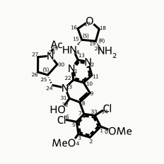 COc1cc(OC)c(Cl)c(C2=Cc3cnc(N[C@@H]4COC[C@@H]4N)nc3N(C[C@@H]3CCN(C(C)=O)C3)C2O)c1Cl